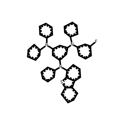 Fc1cccc(N(c2ccccc2)c2cc(N(c3ccccc3)c3ccccc3)cc(N(c3ccccc3)c3cccc4c3sc3ccccc34)c2)c1